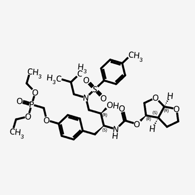 CCOP(=O)(COc1ccc(C[C@H](NC(=O)O[C@H]2CO[C@H]3OCC[C@H]32)[C@H](O)CN(CC(C)C)S(=O)(=O)c2ccc(C)cc2)cc1)OCC